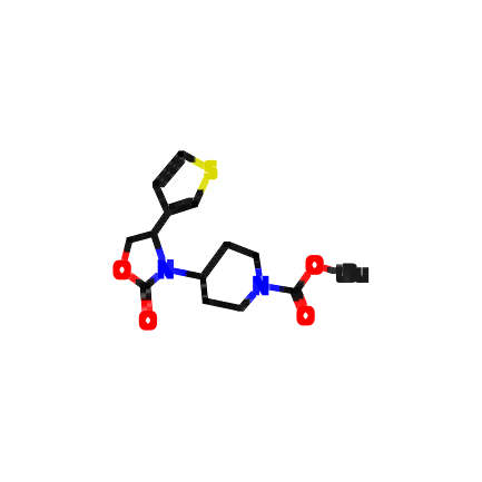 CC(C)(C)OC(=O)N1CCC(N2C(=O)OCC2c2ccsc2)CC1